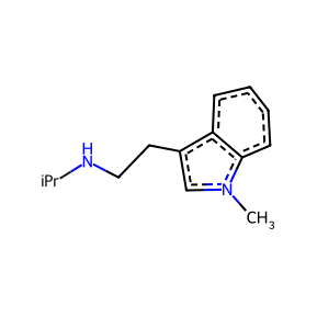 CC(C)NCCc1cn(C)c2ccccc12